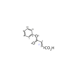 O=C(O)/C=C/C(=O)Oc1ccccc1